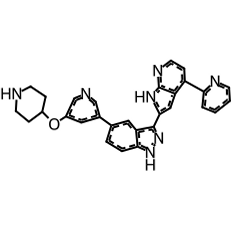 c1ccc(-c2ccnc3[nH]c(-c4n[nH]c5ccc(-c6cncc(OC7CCNCC7)c6)cc45)cc23)nc1